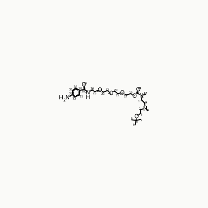 CN(CCOC(C)(C)C)CCN(C)C(=O)OCCOCCOCCOCCNC(=O)c1ccc(N)cc1